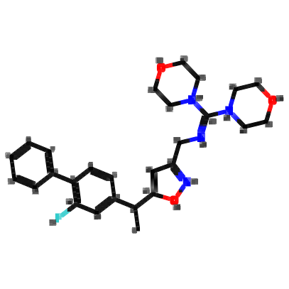 CC(c1ccc(-c2ccccc2)c(F)c1)c1cc(CN=C(N2CCOCC2)N2CCOCC2)no1